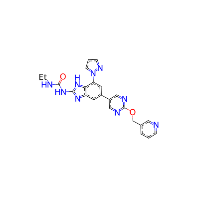 CCNC(=O)Nc1nc2cc(-c3cnc(OCc4cccnc4)nc3)cc(-n3cccn3)c2[nH]1